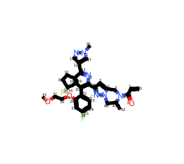 C=CC(=O)N1Cc2cc(-c3nc(-c4cnn(C)c4)c4c(c3-c3c(F)cc(F)cc3OCCOC)C(F)CC4)nn2CC1C